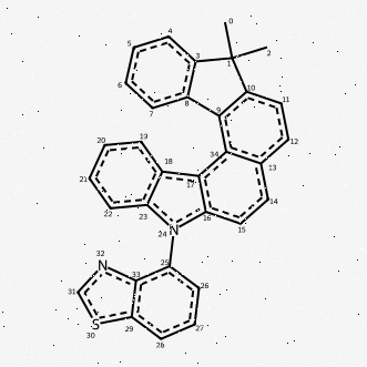 CC1(C)c2ccccc2-c2c1ccc1ccc3c(c4ccccc4n3-c3cccc4scnc34)c21